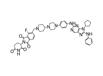 O=C1CCC(N2C(=O)c3ccc(CN4CCC(N5CCN(c6ccc(Nc7ncc8nc(Nc9ccccc9)n(C9CCCC9)c8n7)cc6)CC5)CC4)c(F)c3C2=O)C(=O)N1